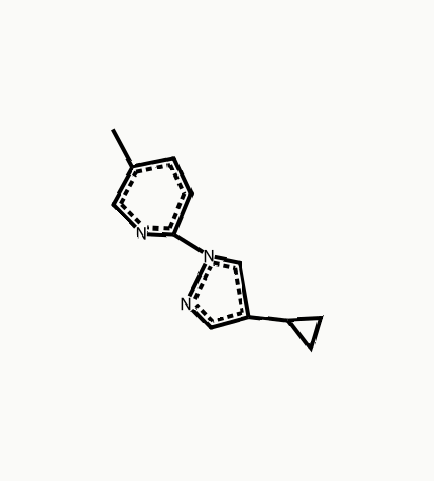 Cc1ccc(-n2cc(C3CC3)cn2)nc1